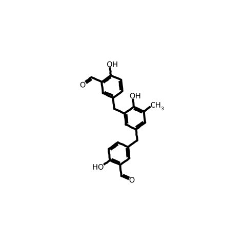 Cc1cc(Cc2ccc(O)c(C=O)c2)cc(Cc2ccc(O)c(C=O)c2)c1O